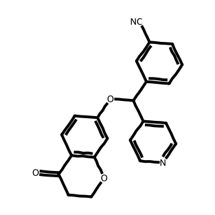 N#Cc1cccc(C(Oc2ccc3c(c2)OCCC3=O)c2ccncc2)c1